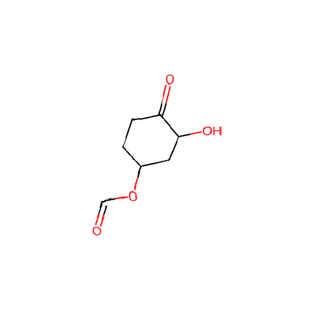 O=COC1CCC(=O)C(O)C1